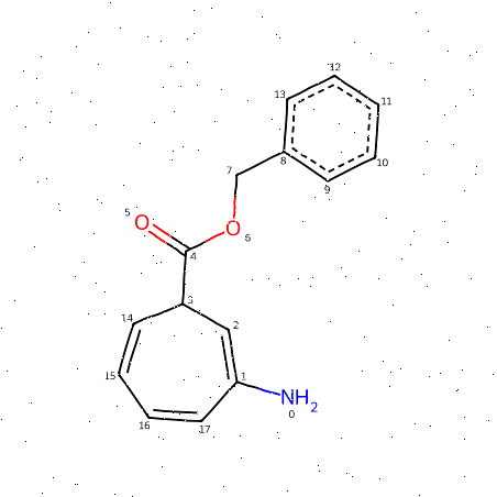 NC1=CC(C(=O)OCc2ccccc2)C=CC=C1